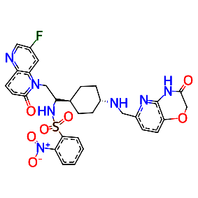 O=C1COc2ccc(CN[C@H]3CC[C@H](C(Cn4c(=O)ccc5ncc(F)cc54)NS(=O)(=O)c4ccccc4[N+](=O)[O-])CC3)nc2N1